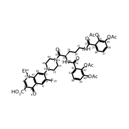 CCn1cc(C(=O)O)c(=O)c2cc(F)c(N3CCN(C(=O)[C@@H](CCCNC(=O)c4cccc(OC(C)=O)c4OC(C)=O)NC(=O)c4cccc(OC(C)=O)c4OC(C)=O)CC3)cc21